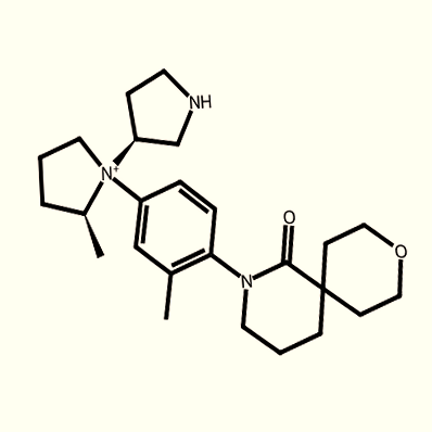 Cc1cc([N+]2([C@H]3CCNC3)CCC[C@@H]2C)ccc1N1CCCC2(CCOCC2)C1=O